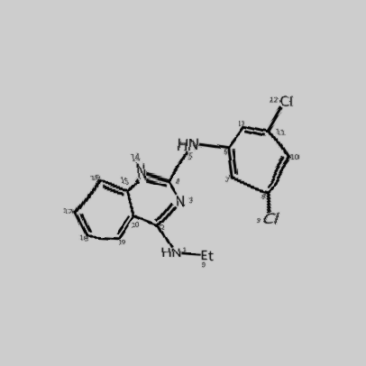 CCNc1nc(Nc2cc(Cl)cc(Cl)c2)nc2ccccc12